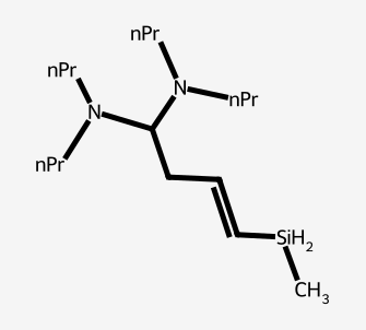 CCCN(CCC)C(CC=C[SiH2]C)N(CCC)CCC